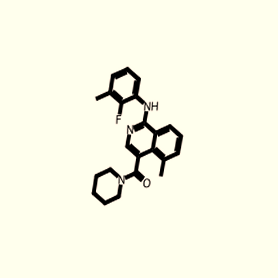 Cc1cccc(Nc2ncc(C(=O)N3CCCCC3)c3c(C)cccc23)c1F